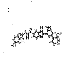 COc1ccc2nc(CNC(=O)c3ccc4nc(-c5cc(-c6cccnc6OC)ccc5O)[nH]c4c3)[nH]c2c1